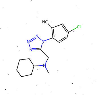 CN(Cc1nnnn1-c1ccc(Cl)cc1C#N)C1CCCCC1